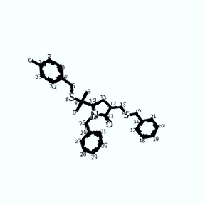 Cc1ccc(CSC(C)(C)C2CC(CSCc3ccccc3)C(=O)N2Cc2ccccc2)cc1